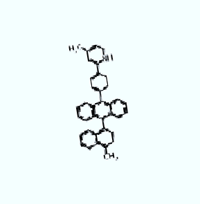 CC1=CCNC(C2=CC=C(c3c4ccccc4c(C4=c5ccccc5=C(C)CC4)c4ccccc34)CC2)=C1